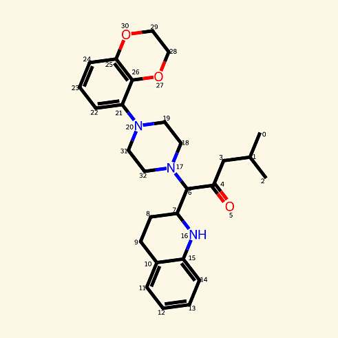 CC(C)CC(=O)C(C1CCc2ccccc2N1)N1CCN(c2cccc3c2OCCO3)CC1